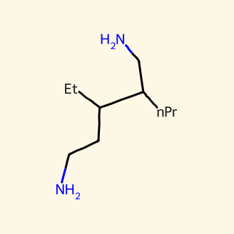 CCCC(CN)C(CC)CCN